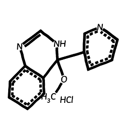 COC1(c2cccnc2)NC=Nc2ccccc21.Cl